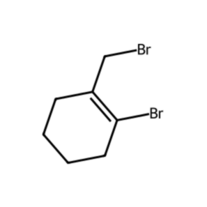 BrCC1=C(Br)CCCC1